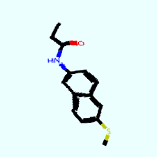 CCC(=O)Nc1ccc2cc(SC)ccc2c1